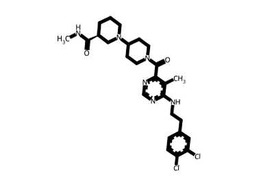 CNC(=O)[C@H]1CCCN(C2CCN(C(=O)c3ncnc(NCCc4ccc(Cl)c(Cl)c4)c3C)CC2)C1